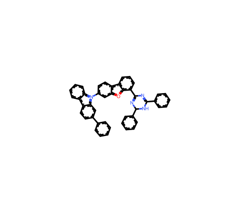 c1ccc(C2=NC(c3cccc4c3oc3cc(-n5c6ccccc6c6ccc(-c7ccccc7)cc65)ccc34)=NC(c3ccccc3)N2)cc1